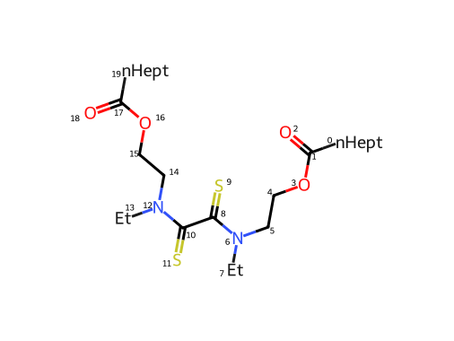 CCCCCCCC(=O)OCCN(CC)C(=S)C(=S)N(CC)CCOC(=O)CCCCCCC